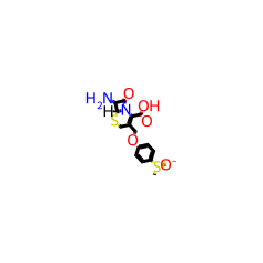 C[S+]([O-])c1ccc(OCC2=C(C(=O)O)N3C(=O)C(N)[C@H]3SC2)cc1